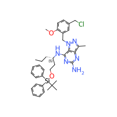 CCC[C@@H](CCO[Si](c1ccccc1)(c1ccccc1)C(C)(C)C)Nc1nc(N)nc2c(C)nn(Cc3cc(CCl)ccc3OC)c12